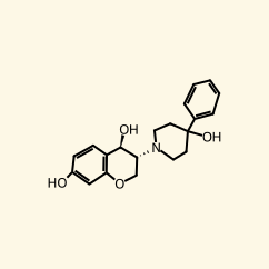 Oc1ccc2c(c1)OC[C@@H](N1CCC(O)(c3ccccc3)CC1)[C@@H]2O